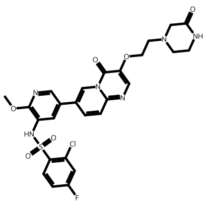 COc1ncc(-c2ccc3ncc(OCCN4CCNC(=O)C4)c(=O)n3c2)cc1NS(=O)(=O)c1ccc(F)cc1Cl